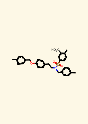 Cc1ccc(COc2ccc(CCN(Cc3ccc(C)cc3)S(=O)(=O)c3ccc(C)c(C(=O)O)c3)cc2)cc1